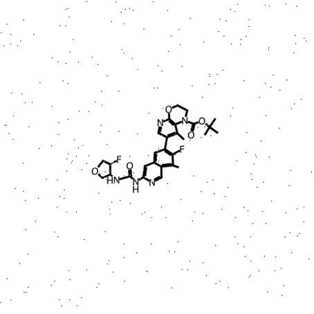 Cc1c(-c2cc3cc(NC(=O)N[C@H]4COC[C@H]4F)ncc3c(C)c2F)cnc2c1N(C(=O)OC(C)(C)C)CCO2